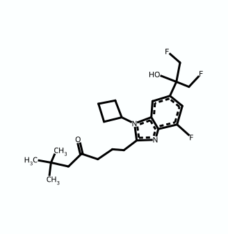 CC(C)(C)CC(=O)CCCc1nc2c(F)cc(C(O)(CF)CF)cc2n1C1CCC1